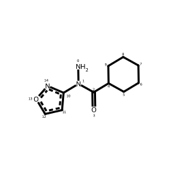 NN(C(=O)C1CCCCC1)c1ccon1